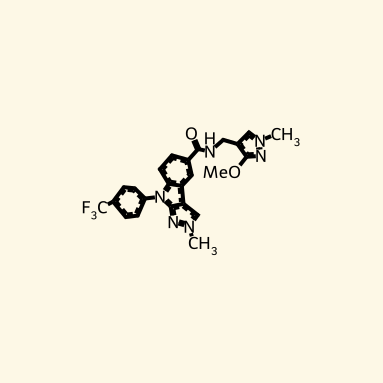 COc1nn(C)cc1CNC(=O)c1ccc2c(c1)c1cn(C)nc1n2-c1ccc(C(F)(F)F)cc1